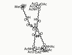 COP(=O)(O)OCCCCCCNC(=O)CCCC(=O)N1CC(C(=O)NC(COCCC(=O)NCCCCCCOC2OC(COC(C)=O)C(OC(C)=O)C(OC(C)=O)C2NC(C)=O)(COCCC(=O)NCCCCCCOC2OC(COC(C)=O)C(OC(C)=O)C(OC(C)=O)C2NC(C)=O)COCCC(=O)NCCCCCCOC2OC(COC(C)=O)C(OC(C)=O)C(OC(C)=O)C2NC(C)=O)C1